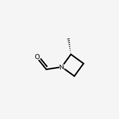 C[C@@H]1CCN1C=O